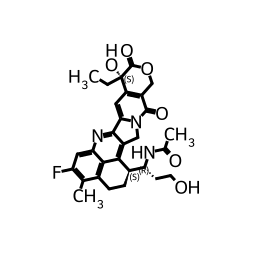 CC[C@@]1(O)C(=O)OCc2c1cc1n(c2=O)Cc2c-1nc1cc(F)c(C)c3c1c2[C@@H]([C@@H](CCO)NC(C)=O)CC3